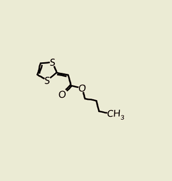 CCCCOC(=O)C=C1SC=CS1